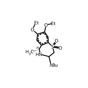 CCCCC1CS(=O)(=O)c2cc(OCC)c(OCC)cc2[C@@H](C)N1